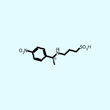 C[C@H](NCCCS(=O)(=O)O)c1ccc([N+](=O)[O-])cc1